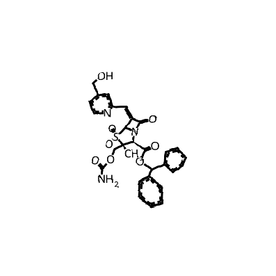 C[C@]1(COC(N)=O)[C@H](C(=O)OC(c2ccccc2)c2ccccc2)N2C(=O)/C(=C/c3cc(CO)ccn3)C2S1(=O)=O